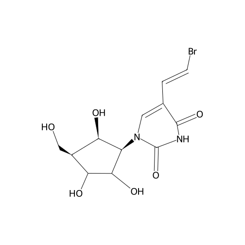 O=c1[nH]c(=O)n([C@H]2C(O)C(O)[C@@H](CO)[C@H]2O)cc1C=CBr